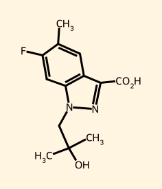 Cc1cc2c(C(=O)O)nn(CC(C)(C)O)c2cc1F